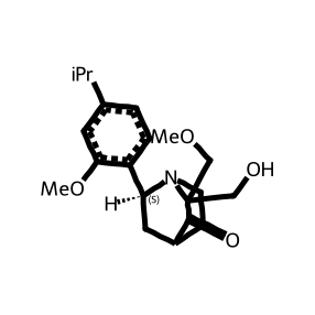 COCC1(CO)C(=O)C2CCN1[C@H](c1ccc(C(C)C)cc1OC)C2